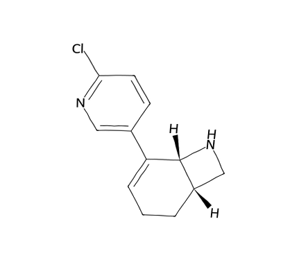 Clc1ccc(C2=CCC[C@H]3CN[C@@H]23)cn1